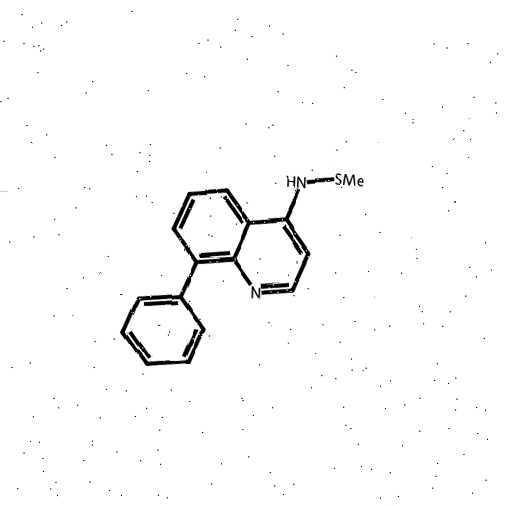 CSNc1ccnc2c(-c3ccccc3)cccc12